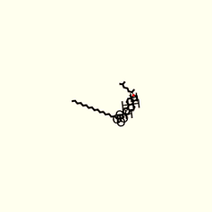 CCCCCCCCCCCCCCCCOP(=O)(O)O[C@H]1CC[C@@]2(C)C(=CC[C@H]3[C@@H]4CC[C@H](C(C)CCCC(C)C)[C@@]4(C)CC[C@@H]32)C1